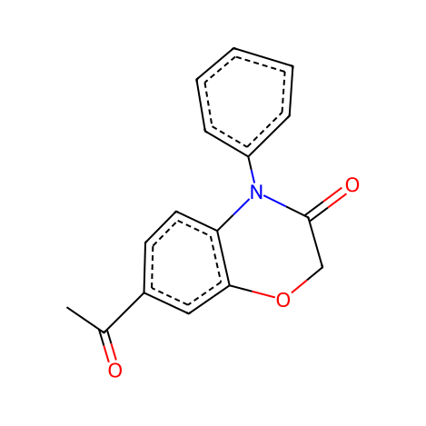 CC(=O)c1ccc2c(c1)OCC(=O)N2c1ccccc1